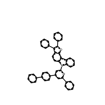 c1ccc(-c2ccc(-c3cc(-c4ccccc4)nc(-n4c5ccccc5c5c6oc(-c7ccccc7)c(-c7ccccc7)c6ccc54)c3)cc2)cc1